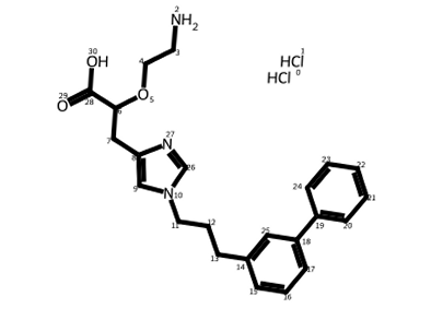 Cl.Cl.NCCOC(Cc1cn(CCCc2cccc(-c3ccccc3)c2)cn1)C(=O)O